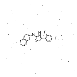 Fc1ccc(-c2csc(=Nc3ccc4ccccc4c3)[nH]2)c(F)c1